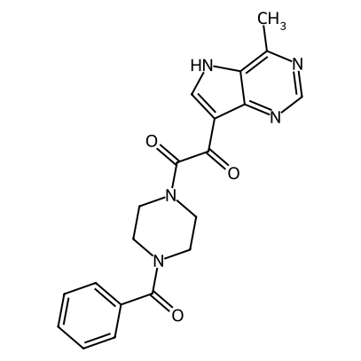 Cc1ncnc2c(C(=O)C(=O)N3CCN(C(=O)c4ccccc4)CC3)c[nH]c12